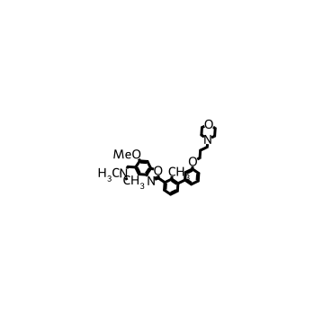 COc1cc2oc(-c3cccc(-c4cccc(OCCCN5CCOCC5)c4)c3C)nc2cc1CN(C)C